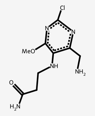 COc1nc(Cl)nc(CN)c1NCCC(N)=O